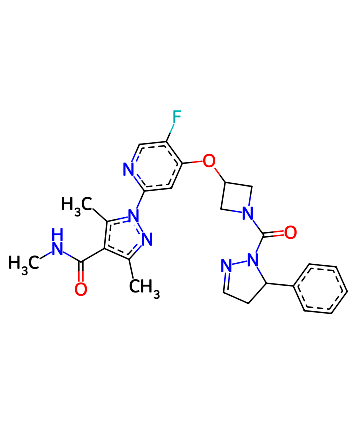 CNC(=O)c1c(C)nn(-c2cc(OC3CN(C(=O)N4N=CCC4c4ccccc4)C3)c(F)cn2)c1C